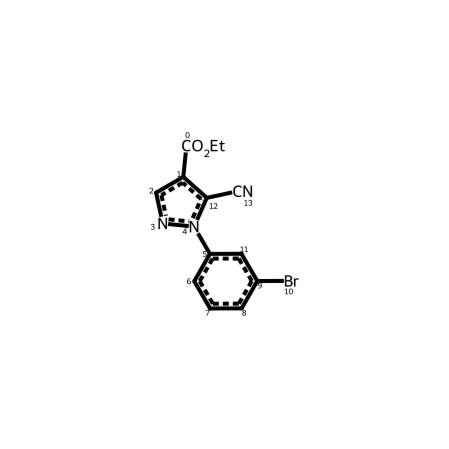 CCOC(=O)c1cnn(-c2cccc(Br)c2)c1C#N